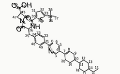 C=C(/N=C\C(=C/C)C1=CCC(C2CCC(CC)CC2)CC1)c1ccc(CC(NC(=O)c2ccc(C(C)(C)C)s2)C(=O)N2CC(C(=O)O)C2)cc1